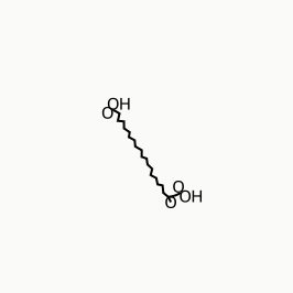 O=C(O)CCCCCCCCCCCCCCCCCCC1OC1C(=O)O